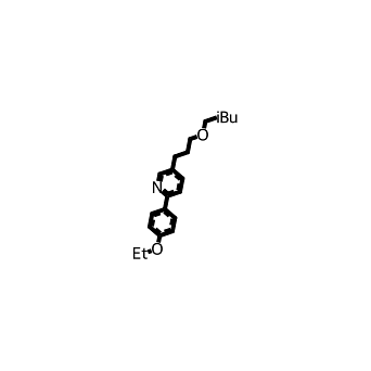 CCOc1ccc(-c2ccc(CCCOCC(C)CC)cn2)cc1